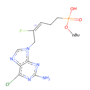 CCCCOP(=O)(O)CC/C=C(/F)Cn1cnc2c(Cl)nc(N)nc21